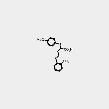 COc1ccc(OC(CCSc2ccccc2C)C(=O)O)cc1